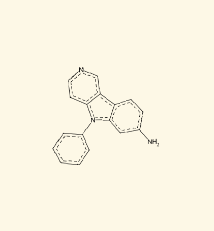 Nc1ccc2c3cnccc3n(-c3ccccc3)c2c1